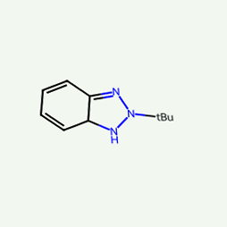 CC(C)(C)N1N=C2C=CC=CC2N1